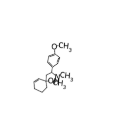 COc1ccc(C(CC2(O)C=CCCC2)N(C)C)cc1